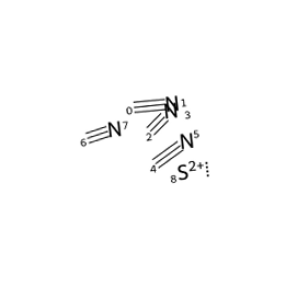 C#N.C#N.C#N.C#N.[S+2]